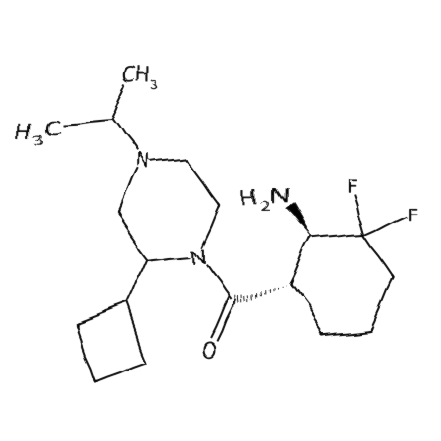 CC(C)N1CCN(C(=O)[C@H]2CCCC(F)(F)[C@@H]2N)C(C2CCC2)C1